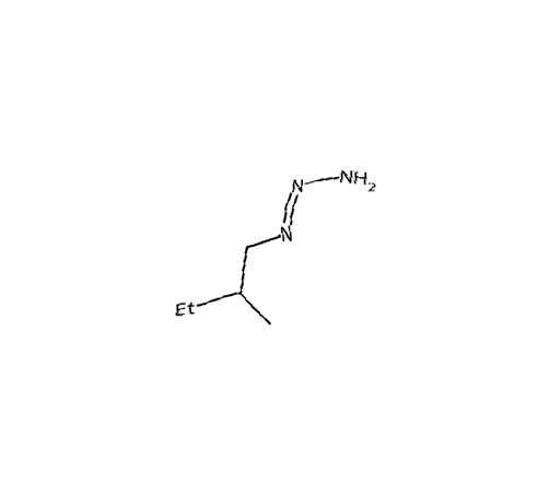 CCC(C)CN=NN